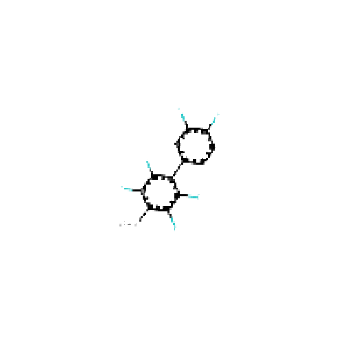 CCCCCc1c(F)c(F)c(-c2ccc(F)c(F)c2)c(F)c1F